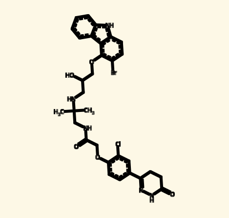 CC(C)(CNC(=O)COc1ccc(C2=NNC(=O)CC2)cc1Cl)NCC(O)COc1c(Br)ccc2[nH]c3ccccc3c12